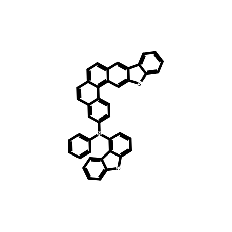 c1ccc(N(c2ccc3c(ccc4ccc5cc6c(cc5c43)sc3ccccc36)c2)c2cccc3oc4ccccc4c23)cc1